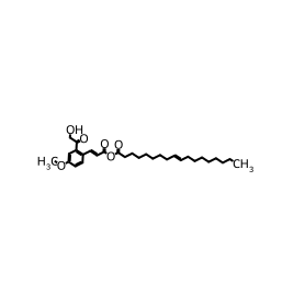 CCCCCCCCC=CCCCCCCCC(=O)OC(=O)C=Cc1ccc(OC)cc1C(=O)CO